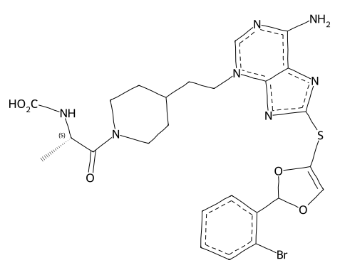 C[C@H](NC(=O)O)C(=O)N1CCC(CCn2cnc(N)c3nc(SC4=COC(c5ccccc5Br)O4)nc2-3)CC1